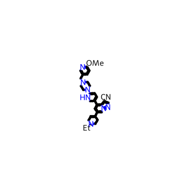 CCN1CC=C(c2cc(C3=CC=C(N4CCN(Cc5ccc(OC)nc5)CC4)NC3)c3c(C#N)cnn3c2)CC1